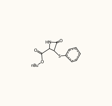 CCCCOC(=O)C1NC(=O)C1Sc1ccccc1